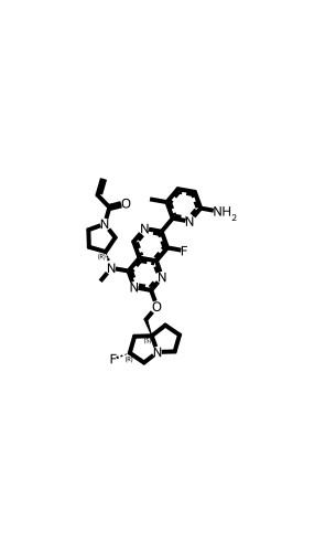 C=CC(=O)N1CC[C@@H](N(C)c2nc(OC[C@@]34CCCN3C[C@H](F)C4)nc3c(F)c(-c4nc(N)ccc4C)ncc23)C1